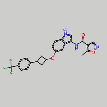 Cc1oncc1C(=O)Nc1c[nH]c2ccc(OC3CC(c4ccc(C(F)(F)F)cc4)C3)cc12